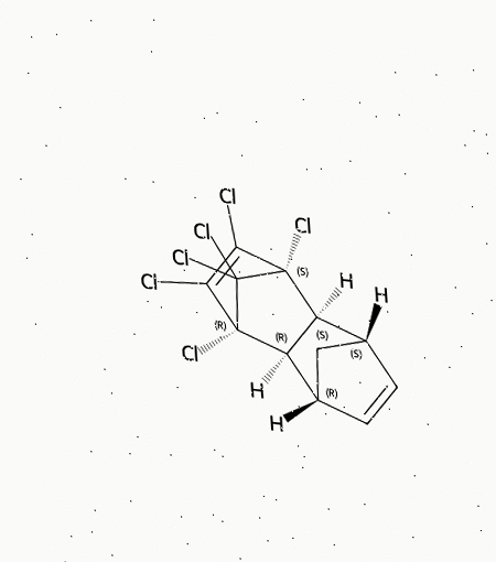 ClC1=C(Cl)[C@]2(Cl)[C@H]3[C@H]([C@@H]4C=C[C@H]3C4)[C@@]1(Cl)C2(Cl)Cl